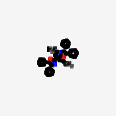 C=CCC(CC=C)(C1=N[C@H](c2ccccc2)C(c2ccccc2)O1)C1=N[C@H](c2ccccc2)[C@H](c2ccccc2)O1